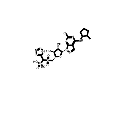 CC1CCCC1Nc1nc(Cl)nc2c1cnn2[C@@H]1O[C@H](CS(=O)(=O)C(c2nnn[nH]2)P(=O)(O)O)[C@@H](O)[C@H]1O